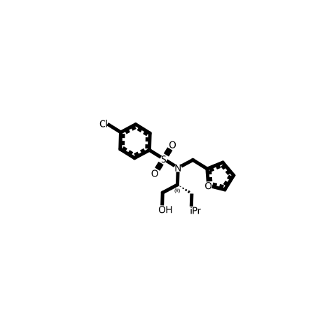 CC(C)C[C@H](CO)N(Cc1ccco1)S(=O)(=O)c1ccc(Cl)cc1